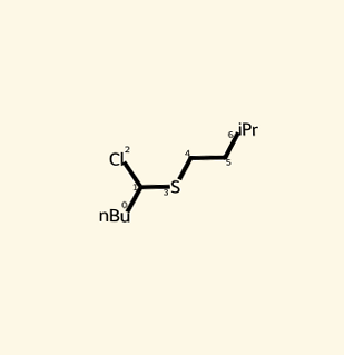 CCCCC(Cl)SCCC(C)C